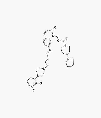 O=C(OCn1c(=O)ccc2ccc(OCCCCN3CCN(c4cccc(Cl)c4Cl)CC3)cc21)N1CCC(N2CCCCC2)CC1